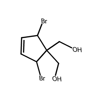 OCC1(CO)C(Br)C=CC1Br